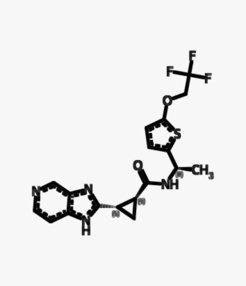 C[C@@H](NC(=O)[C@H]1C[C@@H]1c1nc2cnccc2[nH]1)c1ccc(OCC(F)(F)F)s1